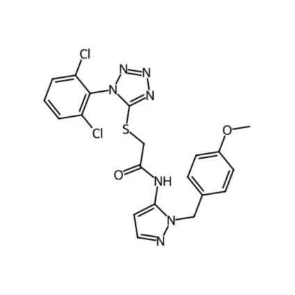 COc1ccc(Cn2nccc2NC(=O)CSc2nnnn2-c2c(Cl)cccc2Cl)cc1